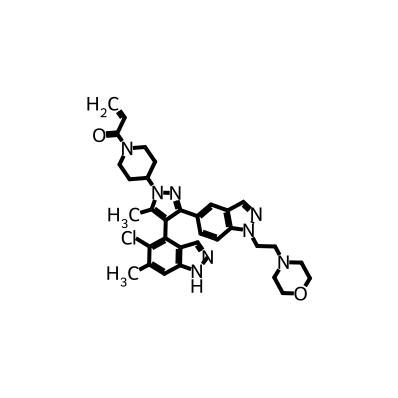 C=CC(=O)N1CCC(n2nc(-c3ccc4c(cnn4CCN4CCOCC4)c3)c(-c3c(Cl)c(C)cc4[nH]ncc34)c2C)CC1